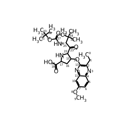 CCc1nc2ccc(OC)cc2nc1OC1CC(C(=O)O)NC1C(=O)[C@H](NC(=O)OC(C)(C)C)C(C)(C)C